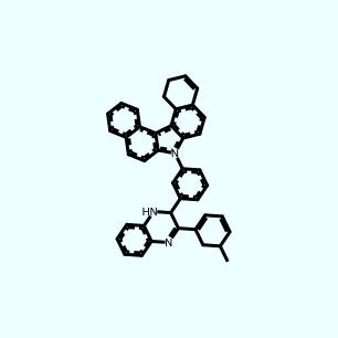 CC1C=CC=C(C2=Nc3ccccc3NC2c2cccc(-n3c4ccc5c(c4c4c6ccccc6ccc43)CCC=C5)c2)C1